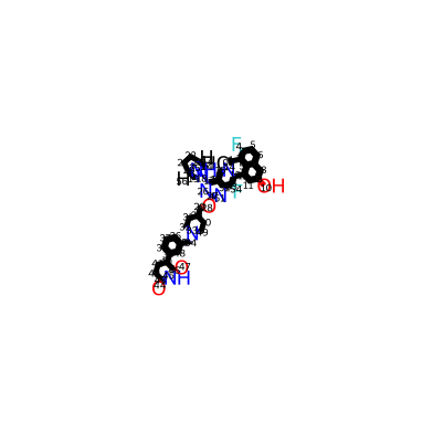 C#Cc1c(F)ccc2cc(O)cc(-c3ncc4c(N5C[C@H]6CC[C@@H](C5)N6)nc(OCC5CCN(Cc6cccc(C7CCC(=O)NC7=O)c6)CC5)nc4c3F)c12